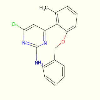 Cc1cccc(OCc2ccccc2)c1-c1cc(Cl)nc(N)n1